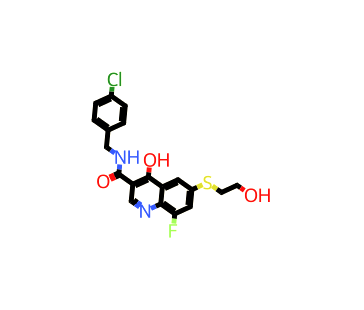 O=C(NCc1ccc(Cl)cc1)c1cnc2c(F)cc(SCCO)cc2c1O